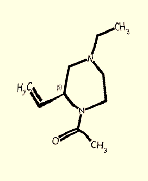 C=C[C@H]1CN(CC)CCN1C(C)=O